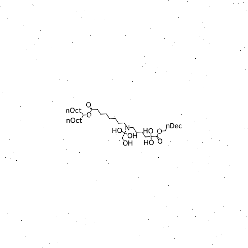 CCCCCCCCCCCOC(=O)C(O)(O)CCCCN(CCCCCCCC(=O)OC(CCCCCCCC)CCCCCCCC)C(O)(O)CO